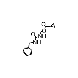 O=C(NCOC(=O)C1CC1)NCc1ccccc1